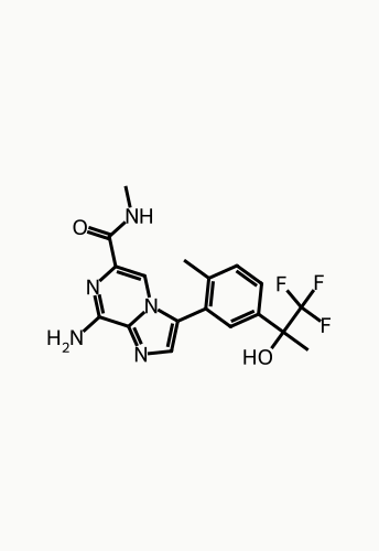 CNC(=O)c1cn2c(-c3cc(C(C)(O)C(F)(F)F)ccc3C)cnc2c(N)n1